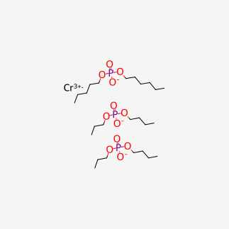 CCCCCCOP(=O)([O-])OCCCCC.CCCCOP(=O)([O-])OCCC.CCCCOP(=O)([O-])OCCC.[Cr+3]